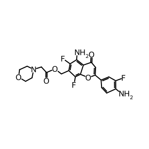 Nc1ccc(-c2cc(=O)c3c(N)c(F)c(COC(=O)CN4CCOCC4)c(F)c3o2)cc1F